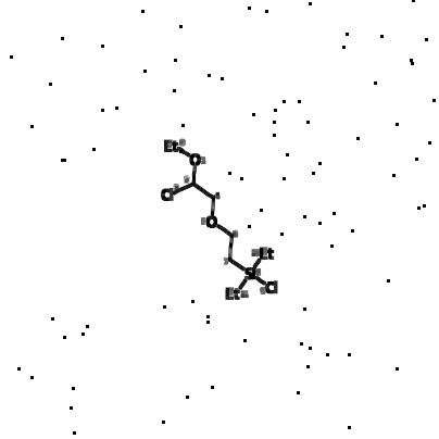 CCOC(Cl)COCC[Si](Cl)(CC)CC